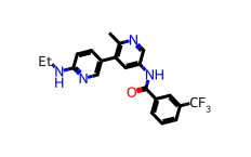 CCNc1ccc(-c2cc(NC(=O)c3cccc(C(F)(F)F)c3)cnc2C)cn1